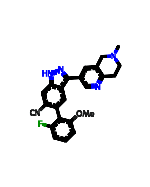 [C-]#[N+]c1cc2[nH]nc(-c3cnc4c(c3)CN(C)CC4)c2cc1-c1c(F)cccc1OC